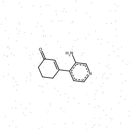 Nc1cnccc1C1=CC(=O)CCC1